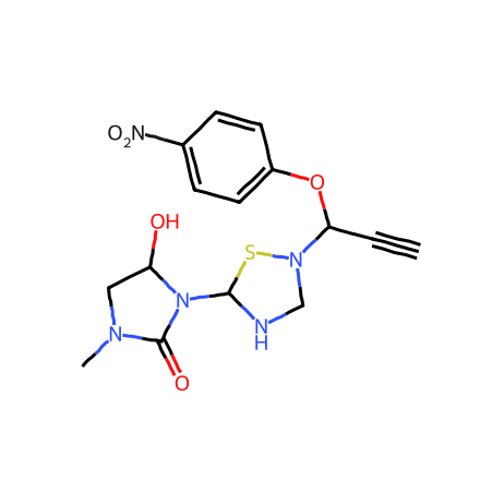 C#CC(Oc1ccc([N+](=O)[O-])cc1)N1CNC(N2C(=O)N(C)CC2O)S1